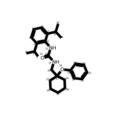 CC(C)c1cccc(C(C)C)c1NC(=O)NCC1(Oc2ccccc2)CCCCC1